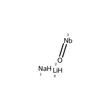 [LiH].[NaH].[O]=[Nb]